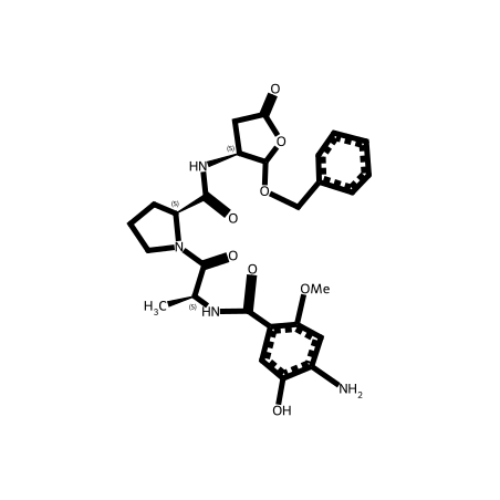 COc1cc(N)c(O)cc1C(=O)N[C@@H](C)C(=O)N1CCC[C@H]1C(=O)N[C@H]1CC(=O)OC1OCc1ccccc1